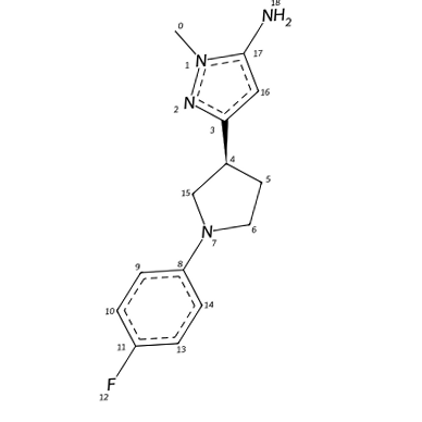 Cn1nc([C@H]2CCN(c3ccc(F)cc3)C2)cc1N